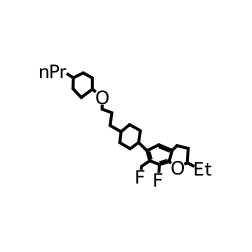 CCCC1CCC(OCCCC2CCC(c3cc4c(c(F)c3CF)OC(CC)CC4)CC2)CC1